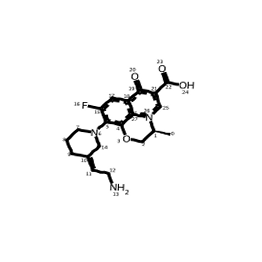 C[C@H]1COc2c(N3CCC/C(=C/CN)C3)c(F)cc3c(=O)c(C(=O)O)cn1c23